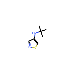 CC(C)(C)Nc1cnsc1